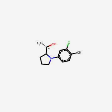 N#Cc1ccc(N2CCCC2[C@@H](O)C(F)(F)F)cc1Cl